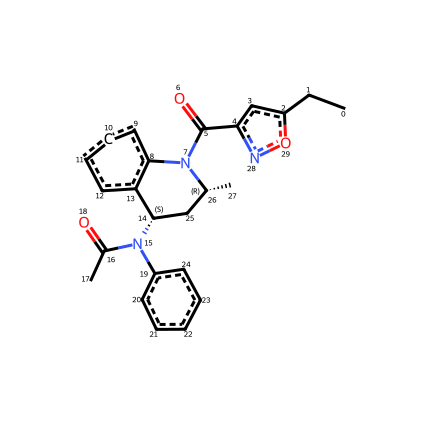 CCc1cc(C(=O)N2c3ccccc3[C@@H](N(C(C)=O)c3ccccc3)C[C@H]2C)no1